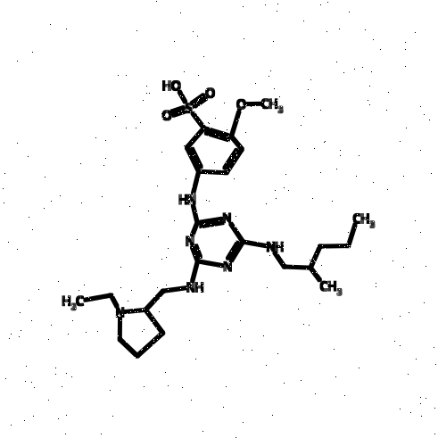 CCCC(C)CNc1nc(NCC2CCCN2CC)nc(Nc2ccc(OC)c(S(=O)(=O)O)c2)n1